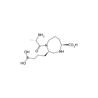 C[C@H](N)C(=O)N1CCC[C@@H](C(=O)O)NC[C@H]1CCCB(O)O